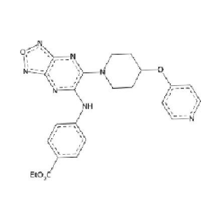 CCOC(=O)c1ccc(Nc2nc3nonc3nc2N2CCC(Oc3ccncc3)CC2)cc1